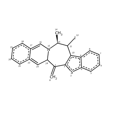 C=C1c2sc3ccccc3c2C(I)[C@H](C)N2C=c3ccccc3=CC12